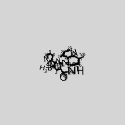 Bc1cc2c(nc1-c1cccnc1SC)N1C(=CC(C)c3nccc(C)c31)NC2=O